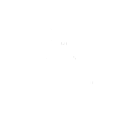 CCc1ccc2c(n1)NC(=O)CS2